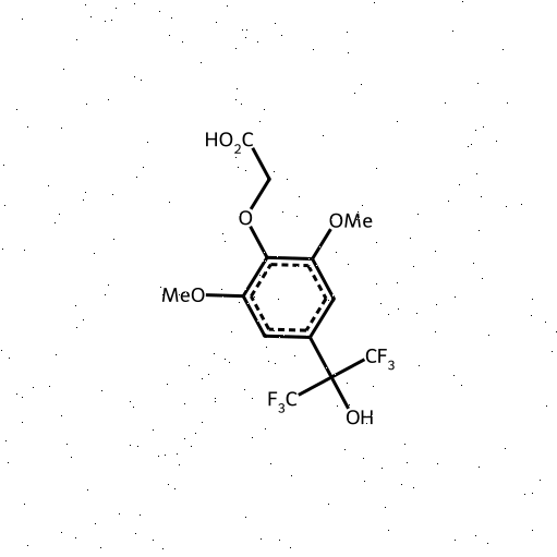 COc1cc(C(O)(C(F)(F)F)C(F)(F)F)cc(OC)c1OCC(=O)O